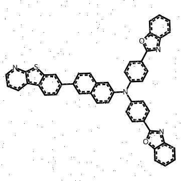 c1ccc2oc(-c3ccc(N(c4ccc(-c5nc6ccccc6o5)cc4)c4ccc5cc(-c6ccc7c(c6)sc6ncccc67)ccc5c4)cc3)nc2c1